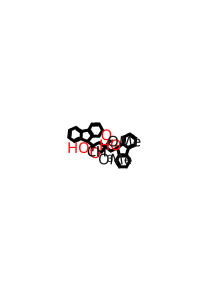 COC(=O)C(CC(C)C1(O)C2=C(C=CCC2)c2ccccc21)(CC1(O)C2=C(CCC=C2)c2ccccc21)C(=O)OC